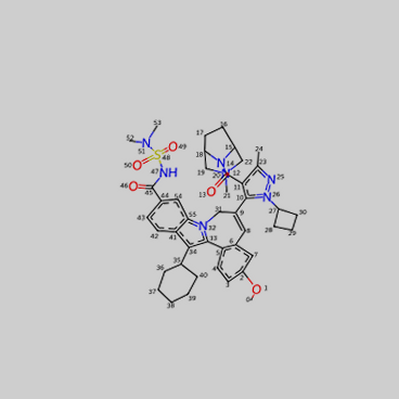 COc1ccc2c(c1)C=C(c1c(C(=O)N3C4CCC3CN(C)C4)c(C)nn1C1CCC1)Cn1c-2c(C2CCCCC2)c2ccc(C(=O)NS(=O)(=O)N(C)C)cc21